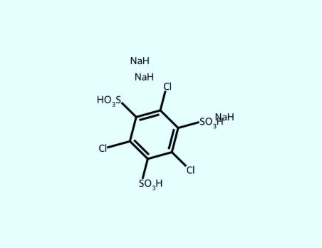 O=S(=O)(O)c1c(Cl)c(S(=O)(=O)O)c(Cl)c(S(=O)(=O)O)c1Cl.[NaH].[NaH].[NaH]